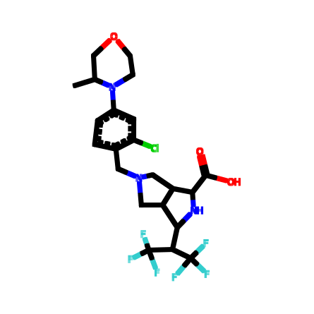 CC1COCCN1c1ccc(CN2CC3C(C(=O)O)NC(C(C(F)(F)F)C(F)(F)F)C3C2)c(Cl)c1